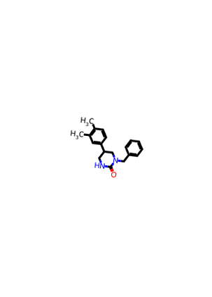 Cc1ccc(C2CNC(=O)N(Cc3ccccc3)C2)cc1C